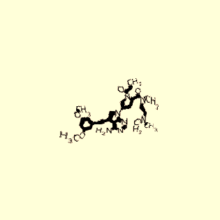 C=CC(=O)N1C[C@@H](n2cc(C#Cc3cc(OC)cc(OC)c3)c3c(N)ncnc32)CC1C(=O)N(C)CCN(C)C